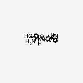 CC1CN(CC(=O)Nc2cccc(CO)c2CN)CC(C)N1c1ncnc2sccc12